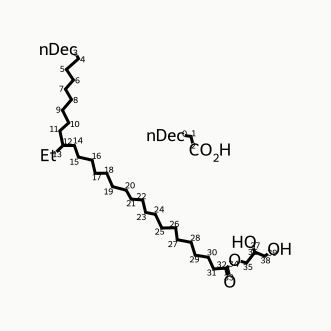 CCCCCCCCCCCC(=O)O.CCCCCCCCCCCCCCCCCCC(CC)CCCCCCCCCCCCCCCCCCC(=O)OCC(O)CO